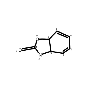 O=C1[N]C2C=CC=CC2O1